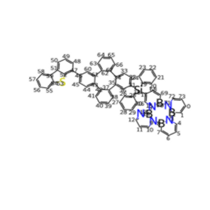 C1=CB2N3C=CC=CB3N3C=CC=NB3N3C=C([Si](c4ccccc4)(c4ccccc4)c4ccc5c(c4)-c4ccccc4-c4ccc(-c6cccc7c6sc6ccccc67)cc4-c4ccccc4-5)C=CB3N2C=C1